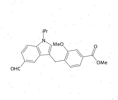 COC(=O)c1ccc(Cc2cn(C(C)C)c3ccc(C=O)cc23)c(OC)c1